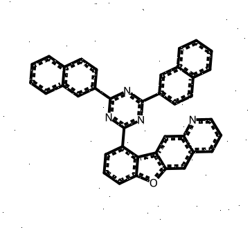 c1ccc2cc(-c3nc(-c4ccc5ccccc5c4)nc(-c4cccc5oc6cc7cccnc7cc6c45)n3)ccc2c1